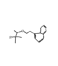 CCC(C)(C)C(C)OCCc1cccc2ccccc12